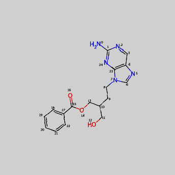 Nc1ncc2ncn(CCC(CO)COC(=O)c3ccccc3)c2n1